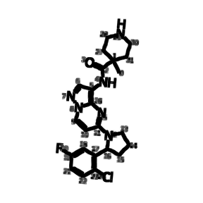 CC1(C(=O)Nc2cnn3ccc(N4CCCC4c4cc(F)ccc4Cl)nc23)CCNCC1